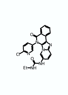 CCNC(=O)Nc1ccc2nc3c4ccccc4c(=O)n(-c4ccc(Cl)nc4)c3n2c1